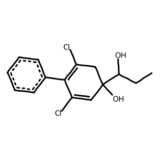 CCC(O)C1(O)C=C(Cl)C(c2ccccc2)=C(Cl)C1